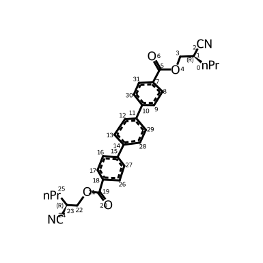 CCC[C@H](C#N)COC(=O)c1ccc(-c2ccc(-c3ccc(C(=O)OC[C@@H](C#N)CCC)cc3)cc2)cc1